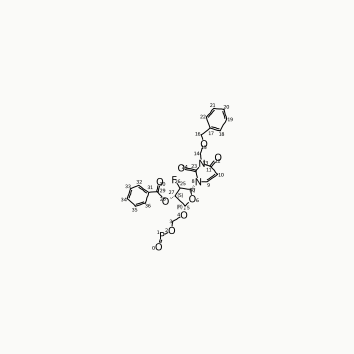 O=POCO[C@H]1O[C@@H](n2ccc(=O)n(COCc3ccccc3)c2=O)C(F)[C@H]1OC(=O)c1ccccc1